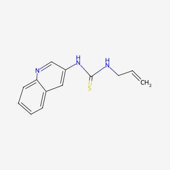 C=CCNC(=S)Nc1cnc2ccccc2c1